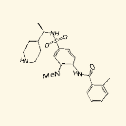 CNc1cc(S(=O)(=O)N[C@H](C)C2CCNCC2)ccc1NC(=O)c1ccccc1C